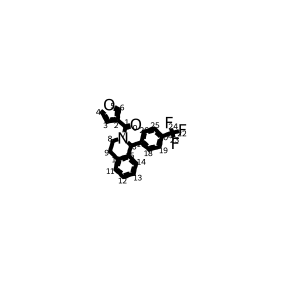 O=C(c1ccoc1)N1CCc2ccccc2C1c1ccc(C(F)(F)F)cc1